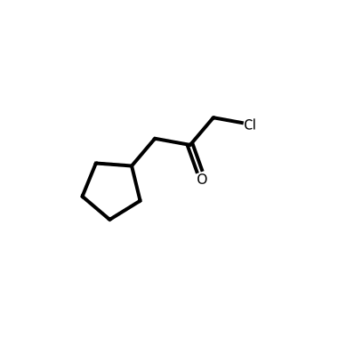 O=C(CCl)CC1CCCC1